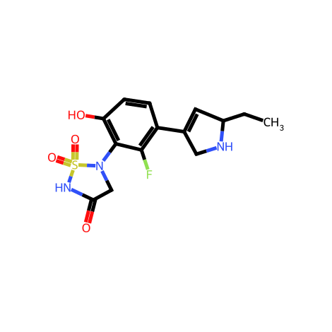 CCC1C=C(c2ccc(O)c(N3CC(=O)NS3(=O)=O)c2F)CN1